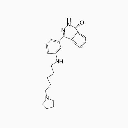 O=c1[nH]nc(-c2cccc(NCCCCCN3CCCC3)c2)c2ccccc12